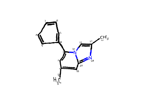 Cc1cc(-c2ccccc2)n2cc(C)nc2c1